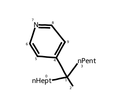 CCCCCCCC(C)(CCCCC)c1ccncc1